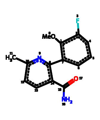 COc1c(F)cccc1-c1nc(C)ccc1C(N)=O